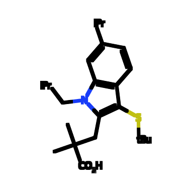 CC(C)Cn1c(CC(C)(C)C(=O)O)c(SC(C)(C)C)c2ccc(C(C)C)cc21